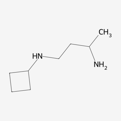 CC(N)CCNC1CCC1